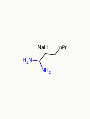 CCCCCC(N)N.[NaH]